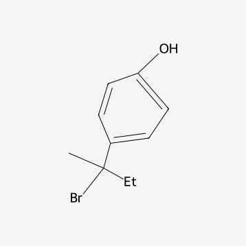 CCC(C)(Br)c1ccc(O)cc1